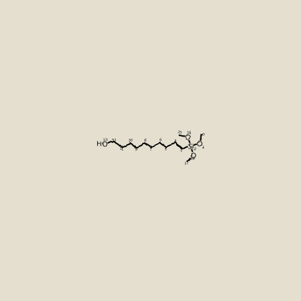 CO[Si](CCCCCCCCCCO)(OC)OC